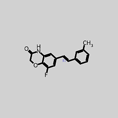 Cc1cccc(/C=C/c2cc(F)c3c(c2)NC(=O)CO3)c1